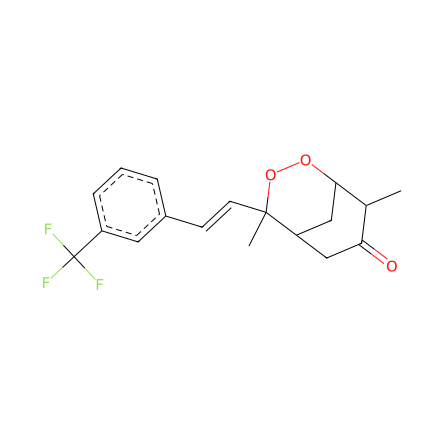 CC1C(=O)CC2CC1OOC2(C)/C=C/c1cccc(C(F)(F)F)c1